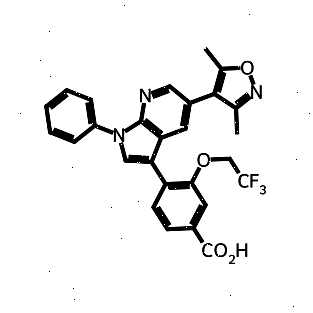 Cc1noc(C)c1-c1cnc2c(c1)c(-c1ccc(C(=O)O)cc1OCC(F)(F)F)cn2-c1ccccc1